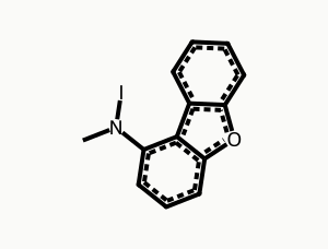 CN(I)c1cccc2oc3ccccc3c12